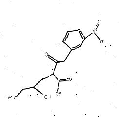 CCC(O)CC(C(=O)O)C(=O)Cc1cccc([N+](=O)[O-])c1